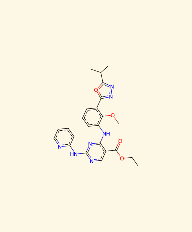 CCOC(=O)c1cnc(Nc2ccccn2)nc1Nc1cccc(-c2nnc(C(C)C)o2)c1OC